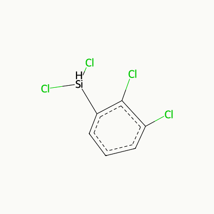 Clc1cccc([SiH](Cl)Cl)c1Cl